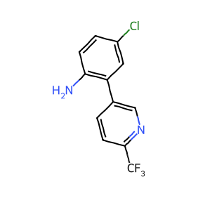 Nc1ccc(Cl)cc1-c1ccc(C(F)(F)F)nc1